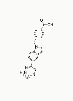 C/N=N\C(=N/N)c1ccc2c(ccn2Cc2ccc(C(=O)O)cc2)c1